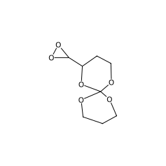 C1COC2(OC1)OCCC(C1OO1)O2